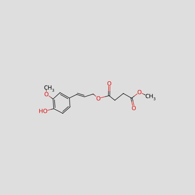 COC(=O)CCC(=O)OCC=Cc1ccc(O)c(OC)c1